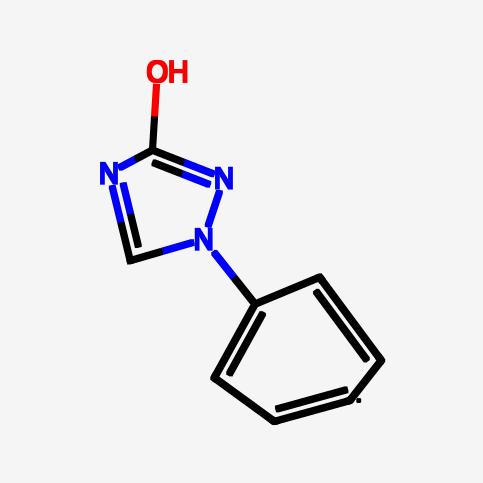 Oc1ncn(-c2cc[c]cc2)n1